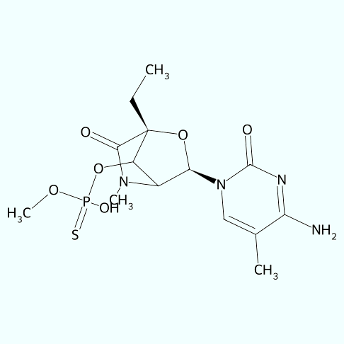 CC[C@@]12O[C@@H](n3cc(C)c(N)nc3=O)C(C1OP(O)(=S)OC)N(C)C2=O